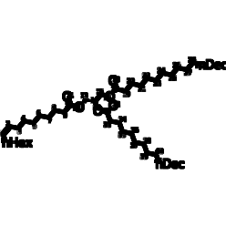 CCCCCC/C=C\CCCCCCCC(=O)OC[C@H](COC(=O)CCCCCCCCCCCCCCCCCCCC)OC(=O)CCCCCCCCCCCCCCCCCC